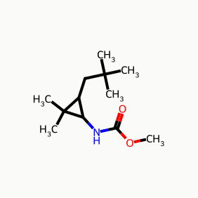 COC(=O)NC1C(CC(C)(C)C)C1(C)C